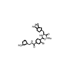 COC(=O)C(=Cc1ccc2[nH]nnc2c1)NC(=O)c1ccc(C(=O)NCc2cccc(O)c2)cc1Br